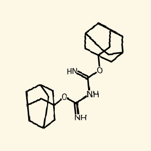 N=C(NC(=N)OC12CC3CC(CC(C3)C1)C2)OC12CC3CC(CC(C3)C1)C2